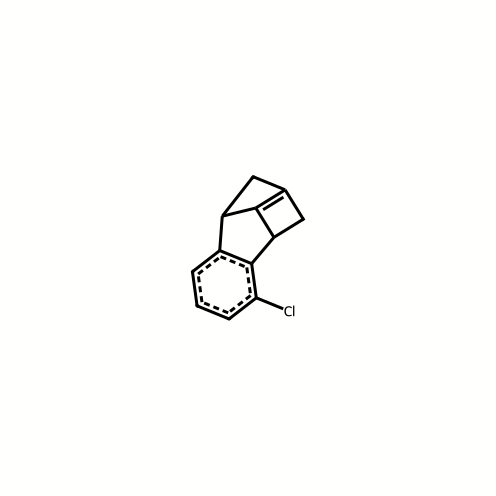 Clc1cccc2c1C1CC3=C1C2C3